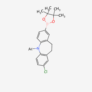 CC(=O)N1c2ccc(Cl)cc2CCc2cc(B3OC(C)(C)C(C)(C)O3)ccc21